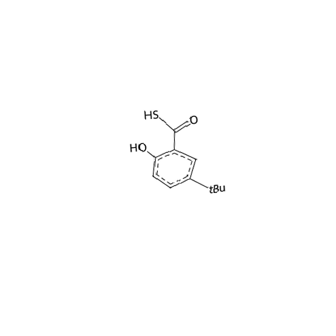 CC(C)(C)c1ccc(O)c(C(=O)S)c1